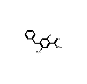 CNC(=N)c1cc(C)c(Cc2ccccc2)cc1Cl